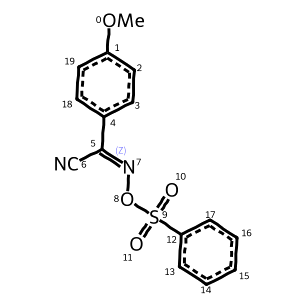 COc1ccc(/C(C#N)=N/OS(=O)(=O)c2ccccc2)cc1